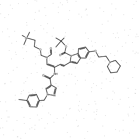 Cc1ccc(Cn2cc(C(=O)NC(/C=C/c3cc4cc(OCCN5CCCCC5)ccc4n3C(=O)OC(C)(C)C)=C/N(C=O)COCC[Si](C)(C)C)cn2)cc1